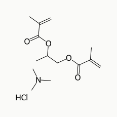 C=C(C)C(=O)OCC(C)OC(=O)C(=C)C.CN(C)C.Cl